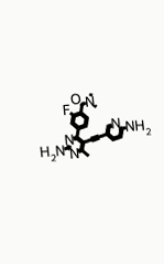 Cc1nc(N)nc(-c2ccc(C(=O)N(C)C)c(F)c2)c1C#Cc1ccc(N)nc1